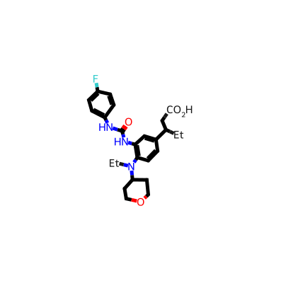 CCC(CC(=O)O)c1ccc(N(CC)C2CCOCC2)c(NC(=O)Nc2ccc(F)cc2)c1